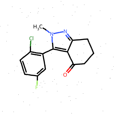 Cn1nc2c(c1-c1cc(F)ccc1Cl)C(=O)CCC2